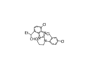 CCC(C=O)c1ccc(Cl)c2nc3n(c12)CCCN3c1ccc(Cl)cc1Cl